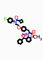 COC(=O)C(Cc1ccc(OCCN(C(=O)C2CCC2)c2ccc(F)cc2)cc1)Nc1ccccc1C(=O)c1ccccc1